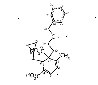 CC1=CC=C(C(=O)O)C(CC2CC2)C1(CCOCc1ccccc1)C(=O)O